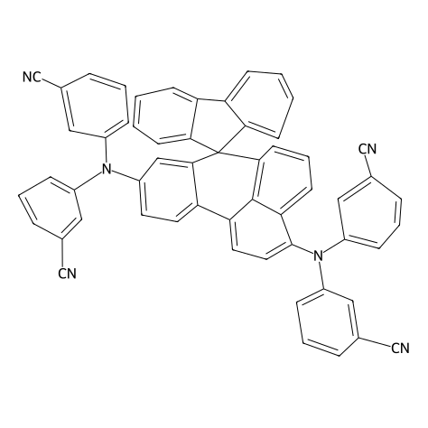 N#Cc1cccc(N(c2cccc(C#N)c2)c2ccc3c(c2)C2(c4ccccc4-c4ccccc42)c2cccc4c(N(c5cccc(C#N)c5)c5cccc(C#N)c5)ccc-3c24)c1